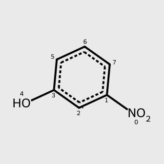 O=[N+]([O-])c1[c]c(O)ccc1